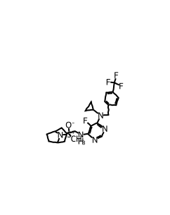 C[S+]([O-])N1C2CCC1CC(CNc1ncnc(N(Cc3ccc(C(F)(F)F)cc3)C3CC3)c1F)C2